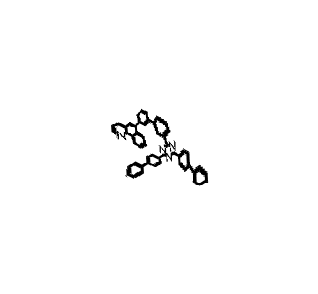 c1ccc(-c2ccc(-c3nc(-c4ccc(-c5ccccc5)cc4)nc(-c4cccc(-c5cccc(-c6cc7cccnc7c7ccccc67)c5)c4)n3)cc2)cc1